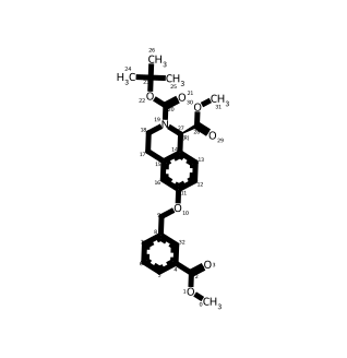 COC(=O)c1cccc(COc2ccc3c(c2)CCN(C(=O)OC(C)(C)C)[C@H]3C(=O)OC)c1